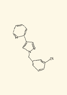 N#Cc1cccc(Cn2cc(-c3ccccn3)cn2)c1